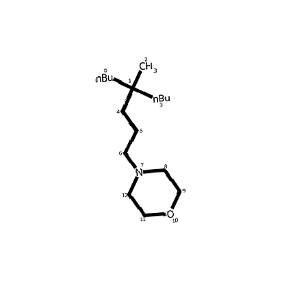 CCCCC(C)(CCCC)CCCN1CCOCC1